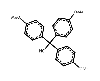 COc1ccc(C(C#N)(c2ccc(OC)cc2)c2ccc(OC)cc2)cc1